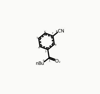 CCCCC(=O)c1cccc(C#N)c1